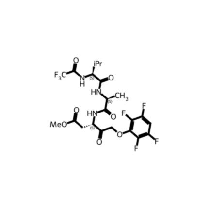 COC(=O)C[C@H](NC(=O)[C@H](C)NC(=O)[C@@H](NC(=O)C(F)(F)F)C(C)C)C(=O)COc1c(F)c(F)cc(F)c1F